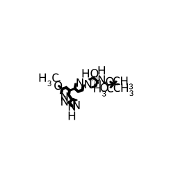 CCOc1cc(-c2ccc(N3CC[C@H](NC(=O)OC(C)(C)C)[C@@H](O)C3)nc2)c2c3cn[nH]c3nn2c1